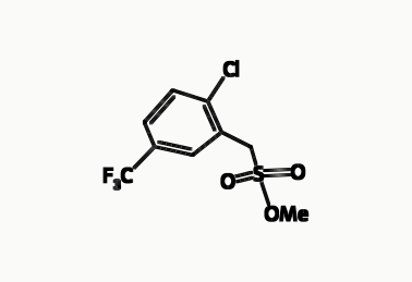 COS(=O)(=O)Cc1cc(C(F)(F)F)ccc1Cl